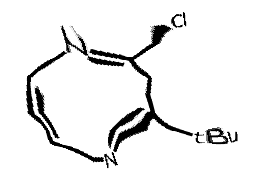 [CH2]C(C)(C)c1nccnc1Cl